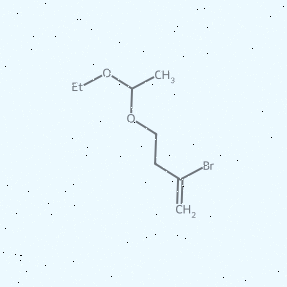 C=C(Br)CCOC(C)OCC